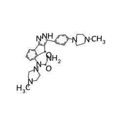 CN1CCN(c2ccc(-c3[nH]nc4c3C(=O)c3c-4cccc3N(C(N)=O)N3CCN(C)CC3)cc2)CC1